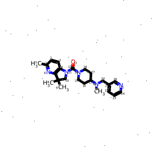 Cc1ccc2c(n1)C(C)(C)CN2C(=O)N1CCC(N(C)Cc2cccnc2)CC1